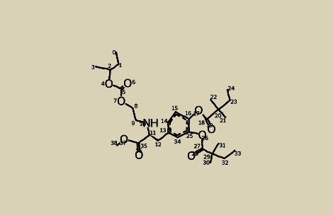 CCC(C)OC(=O)OCCN[C@@H](Cc1ccc(OC(=O)C(C)(C)CC)c(OC(=O)C(C)(C)CC)c1)C(=O)OC